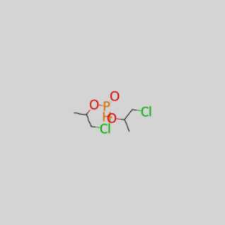 CC(CCl)O[PH](=O)OC(C)CCl